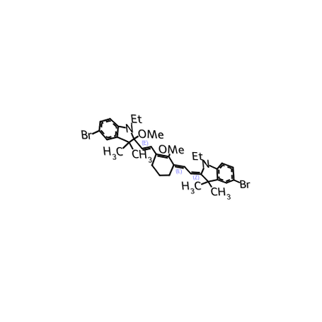 CCN1/C(=C\C=C2/CCCC(/C=C/C3(OC)N(CC)c4ccc(Br)cc4C3(C)C)=C2OC)C(C)(C)c2cc(Br)ccc21